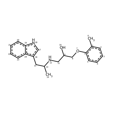 Cc1ccccc1OCC(O)CNC(C)Cc1c[nH]c2ccccc12